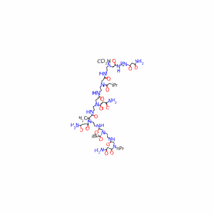 CCCN(CC(=O)NCCN(CC(=O)NCCN(C(=O)CC(N)=O)[C@@H](C)C(=O)NCCN(CC(=O)NCCN(CC(=O)NCCN(CC(=O)NCCNC(=O)CC(N)=O)C(=O)O)C(=O)CC(C)C)C(=O)CC(N)=O)C(=O)C(C)CC)C(=O)CC(N)=O